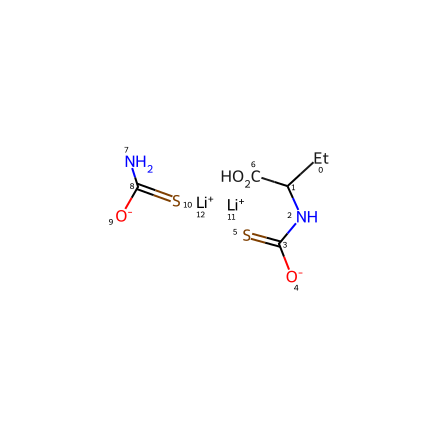 CCC(NC([O-])=S)C(=O)O.NC([O-])=S.[Li+].[Li+]